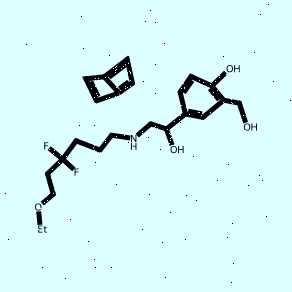 CCOCCC(F)(F)CCCNCC(O)c1ccc(O)c(CO)c1.c1cc2ccc1-2